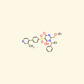 CC[C@@H](c1ccccc1)n1c(COC(C)C)nc(=O)c(S(=O)(=O)c2ccc(-c3ccncc3C)cc2)c1O